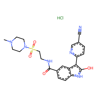 CN1CCN(S(=O)(=O)CCNC(=O)c2ccc3[nH]c(O)c(-c4ccc(C#N)cn4)c3c2)CC1.Cl